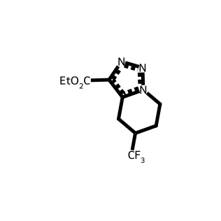 CCOC(=O)c1nnn2c1CC(C(F)(F)F)CC2